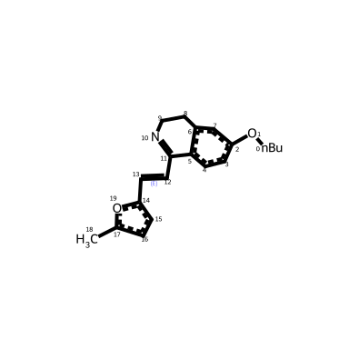 CCCCOc1ccc2c(c1)CCN=C2/C=C/c1ccc(C)o1